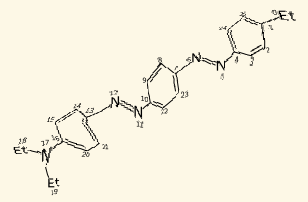 CCc1ccc(N=Nc2ccc(N=Nc3ccc(N(CC)CC)cc3)cc2)cc1